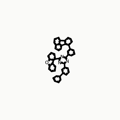 c1ccc(-c2cccc(-c3nc(-c4cccc(-c5cccc6c5-c5cccc7cccc-6c57)c4)nc(-c4cccc5oc6ccccc6c45)n3)c2)cc1